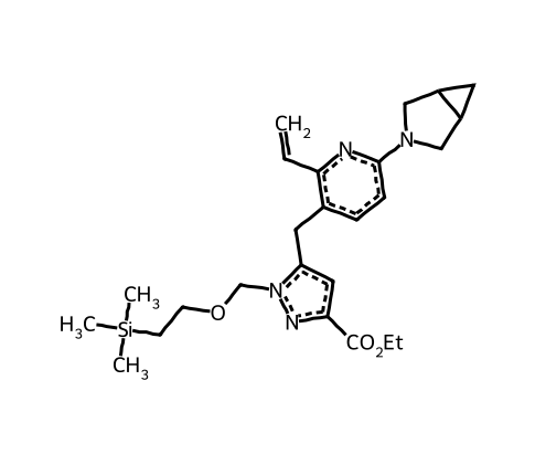 C=Cc1nc(N2CC3CC3C2)ccc1Cc1cc(C(=O)OCC)nn1COCC[Si](C)(C)C